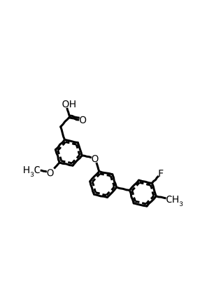 COc1cc(CC(=O)O)cc(Oc2cccc(-c3ccc(C)c(F)c3)c2)c1